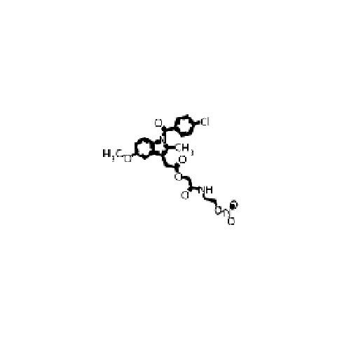 COc1ccc2c(c1)c(CC(=O)OCC(=O)NCCO[N+](=O)[O-])c(C)n2C(=O)c1ccc(Cl)cc1